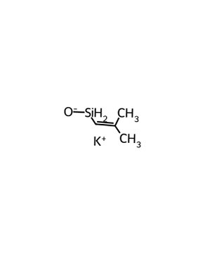 CC(C)=C[SiH2][O-].[K+]